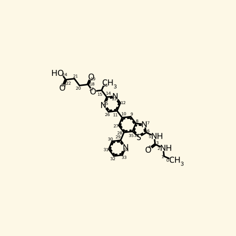 CCNC(=O)Nc1nc2cc(-c3cnc(C(C)OC(=O)CCC(=O)O)nc3)cc(-c3ccccn3)c2s1